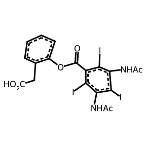 CC(=O)Nc1c(I)c(NC(C)=O)c(I)c(C(=O)Oc2ccccc2CC(=O)O)c1I